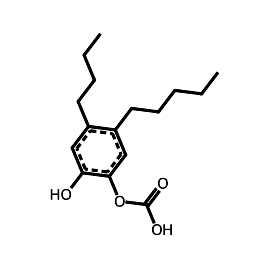 CCCCCc1cc(OC(=O)O)c(O)cc1CCCC